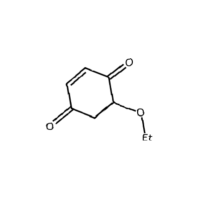 CCOC1CC(=O)C=CC1=O